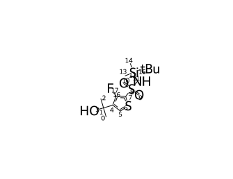 CC(C)(O)c1csc(S(=O)(=O)N[Si](C)(C)C(C)(C)C)c1F